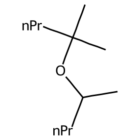 CCCC(C)OC(C)(C)CCC